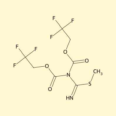 CSC(=N)N(C(=O)OCC(F)(F)F)C(=O)OCC(F)(F)F